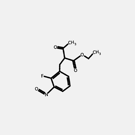 CCOC(=O)C(Cc1cccc(N=O)c1F)C(C)=O